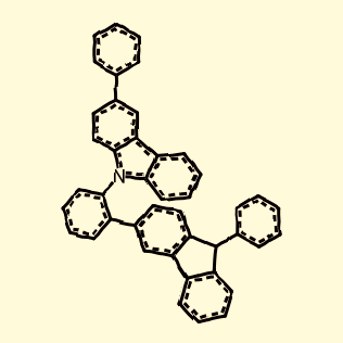 c1ccc(-c2ccc3c(c2)c2ccccc2n3-c2ccccc2-c2ccc3c(c2)-c2ccccc2C3c2ccccc2)cc1